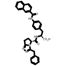 O=C(Nc1ccc(C[C@H](NC(=O)[C@@H]2CCc3nnc(Cc4ccccc4)n32)C(=O)O)cc1)c1ccc2ccccc2c1